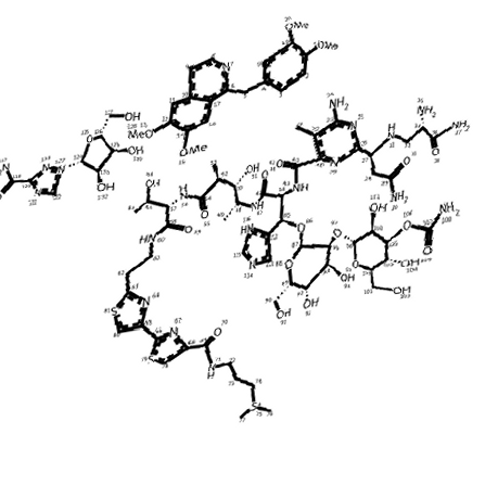 COc1ccc(Cc2nccc3cc(OC)c(OC)cc23)cc1OC.Cc1c(N)nc([C@H](CC(N)=O)NC[C@H](N)C(N)=O)nc1C(=O)N[C@H](C(=O)N[C@H](C)[C@@H](O)[C@H](C)C(=O)N[C@H](C(=O)NCCc1nc(-c2nc(C(=O)NCCC[S+](C)C)cs2)cs1)[C@@H](C)O)[C@@H](O[C@@H]1O[C@@H](CO)[C@@H](O)[C@H](O)[C@@H]1O[C@H]1O[C@H](CO)[C@@H](O)[C@H](OC(N)=O)[C@@H]1O)c1cnc[nH]1.NC(=O)c1ncn([C@@H]2O[C@H](CO)[C@@H](O)[C@H]2O)n1